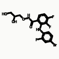 O=C(NOCC(O)CO)c1ccc(F)c(F)c1Nc1ccc(Br)cc1F